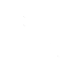 CCc1nn(C2CCCC2)c2cc([C@@H]3CN(C(=O)O)C[C@@]3(C)CO)ccc12